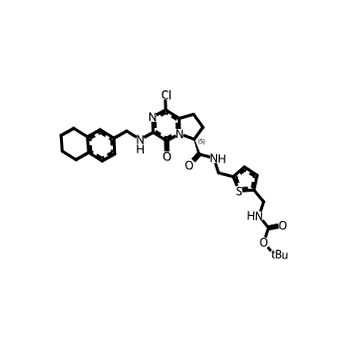 CC(C)(C)OC(=O)NCc1ccc(CNC(=O)[C@@H]2CCc3c(Cl)nc(NCc4ccc5c(c4)CCCC5)c(=O)n32)s1